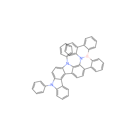 c1ccc(-n2c3ccccc3c3c4c5ccc6c(c5n(-c5ccccc5)c4ccc32)N2B(c3ccccc3-c3ccccc32)c2ccccc2-6)cc1